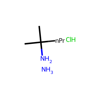 CCCC(C)(C)N.Cl.N